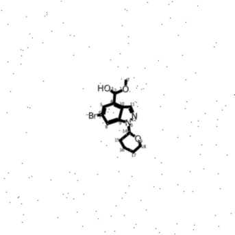 COC(O)c1cc(Br)cc2c1cnn2C1CCCCO1